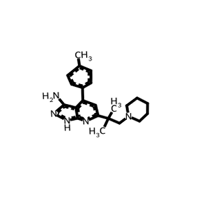 Cc1ccc(-c2cc(C(C)(C)CN3CCCCC3)nc3[nH]nc(N)c23)cc1